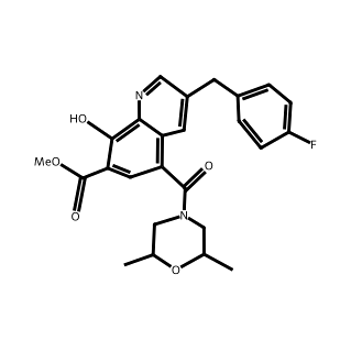 COC(=O)c1cc(C(=O)N2CC(C)OC(C)C2)c2cc(Cc3ccc(F)cc3)cnc2c1O